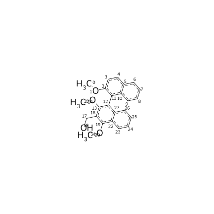 COc1ccc2ccccc2c1-c1c(OC)c(CO)c(OC)c2ccccc12